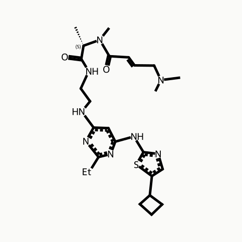 CCc1nc(NCCNC(=O)[C@H](C)N(C)C(=O)C=CCN(C)C)cc(Nc2ncc(C3CCC3)s2)n1